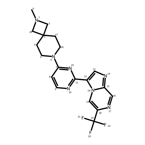 CN1CC2(CCN(c3ccnc(-c4cnc5cnc(C(F)(F)F)cn45)n3)CC2)C1